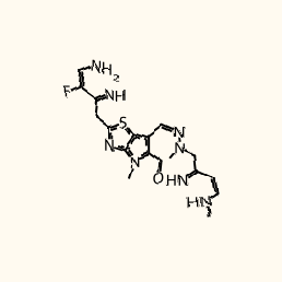 CN/C=C\C(=N)CN(C)/N=C\c1c(C=O)n(C)c2nc(CC(=N)/C(F)=C\N)sc12